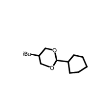 CCC(C)C1COC(C2CCCCC2)OC1